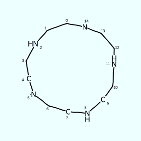 C1CNCC[N]CCNCCNCC[N]1